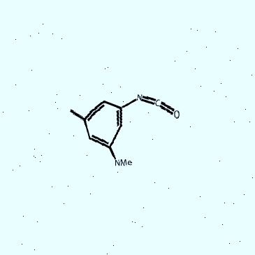 CNc1cc(C)cc(N=C=O)c1